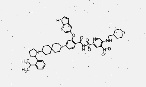 CC(C)c1ccccc1C1CCCN1C1CCC2(CC1)CCN(c1ccc(C(=O)NS(=O)(=O)c3cc([N+](=O)[O-])c(NCC4CCOCC4)cn3)c(Oc3cnc4[nH]ccc4c3)c1)CC2